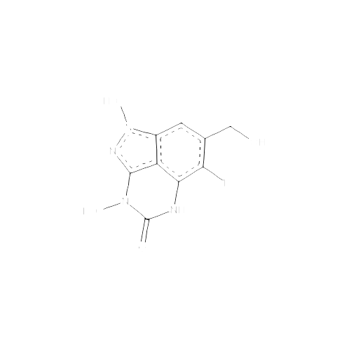 CN1C(=O)Nc2c(F)c(CO)cc3c2c1nn3C